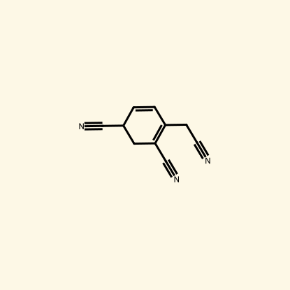 N#CCC1=C(C#N)CC(C#N)C=C1